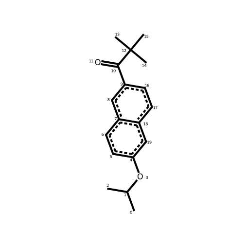 CC(C)Oc1ccc2cc(C(=O)C(C)(C)C)ccc2c1